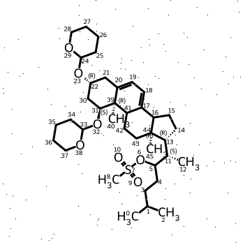 CC(C)CCC(OS(C)(=O)=O)[C@@H](C)[C@H]1CCC2C3=CC=C4C[C@@H](OC5CCCCO5)C[C@H](OC5CCCCO5)[C@]4(C)C3CC[C@@]21C